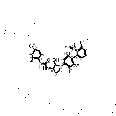 CP(C)(=O)c1c(F)cccc1-c1ccc(N2CC[C@@H](NC(=O)Nc3ccc(Cl)cc3F)C2O)c(F)c1F